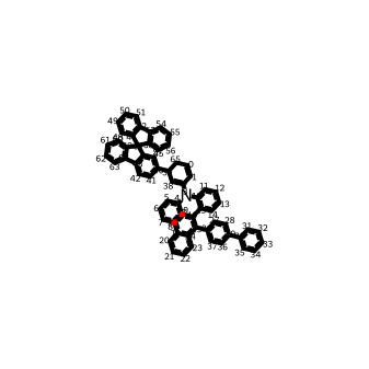 C1=CC(N(c2ccccc2)c2ccccc2-c2ccc3ccccc3c2-c2ccc(-c3ccccc3)cc2)=CC(c2ccc3c(c2)C2(c4ccccc4-c4ccccc42)c2ccccc2-3)C1